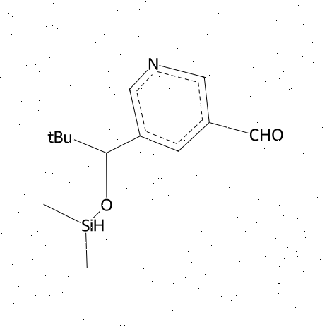 C[SiH](C)OC(c1cncc(C=O)c1)C(C)(C)C